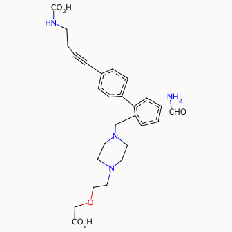 NC=O.O=C(O)COCCN1CCN(Cc2ccccc2-c2ccc(C#CCCNC(=O)O)cc2)CC1